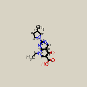 CCn1cc(C(=O)O)c(=O)c2cnc(N3CCC(C)C3)nc21